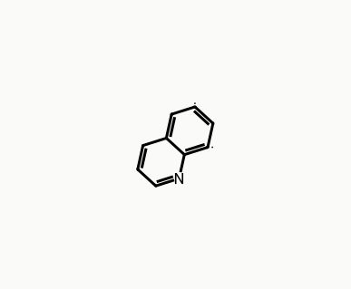 [c]1c[c]c2ncccc2c1